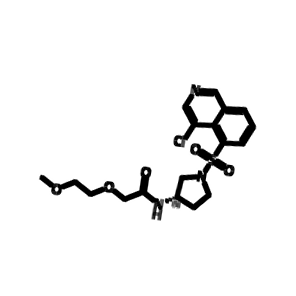 COCCOCC(=O)N[C@H]1CCN(S(=O)(=O)c2cccc3cncc(Cl)c23)C1